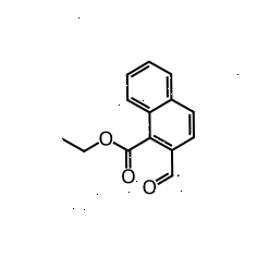 CCOC(=O)c1c([C]=O)ccc2ccccc12